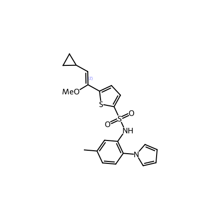 CO/C(=C\C1CC1)c1ccc(S(=O)(=O)Nc2cc(C)ccc2-n2cccc2)s1